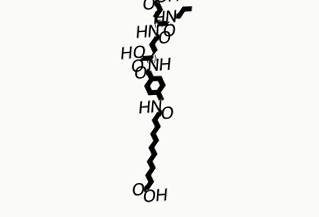 CCCNC(=O)[C@H](CCC(=O)O)NC(=O)CC[C@@H](NC(=O)C1CCC(CNC(=O)CCCCCCCCCCC(=O)O)CC1)C(=O)O